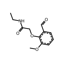 CCNC(=O)COc1c(C=O)cccc1OC